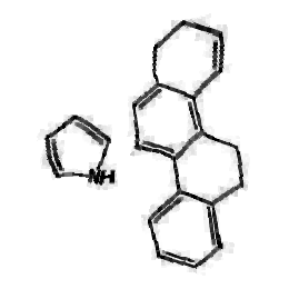 C1=Cc2c(ccc3c2CCc2ccccc2-3)CC1.c1cc[nH]c1